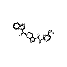 O=C(Nc1nccc(C(F)(F)F)n1)c1csc2c1CCN(C(=O)c1cnc3ccccn13)C2